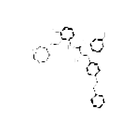 N[C@H](C(=O)Nc1cccc(F)c1CC[C@H]1CCCCNC1)[C@H](c1ccc(F)cc1)c1ccc(CCc2ccccc2)cc1